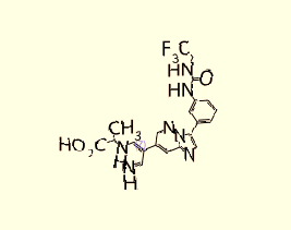 CC(N/C=C(\C=N)c1cnn2c(-c3cccc(NC(=O)NCC(F)(F)F)c3)cnc2c1)C(=O)O